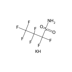 NS(=O)(=O)C(F)(F)C(F)(F)C(F)(F)F.[KH]